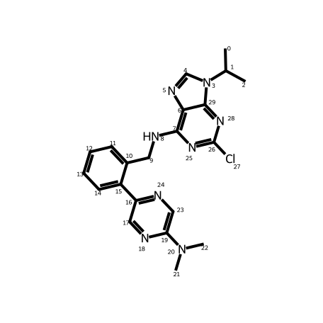 CC(C)n1cnc2c(NCc3ccccc3-c3cnc(N(C)C)cn3)nc(Cl)nc21